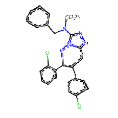 O=C(O)N(Cc1ccccc1)c1nnc2cc(-c3ccc(Cl)cc3)c(-c3ccccc3Cl)nn12